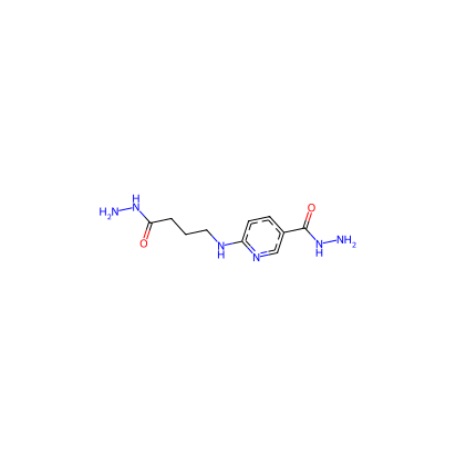 NNC(=O)CCCNc1ccc(C(=O)NN)cn1